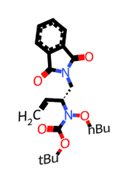 C=C[C@H](CN1C(=O)c2ccccc2C1=O)N(OCCCC)C(=O)OC(C)(C)C